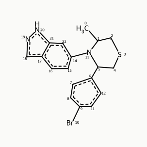 CC1[CH]SCC(c2ccc(Br)cc2)N1c1ccc2cn[nH]c2c1